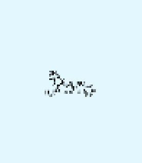 COc1ccc(C2=NN(C(=O)Cc3ccccc3O)CC2)c(OC)c1